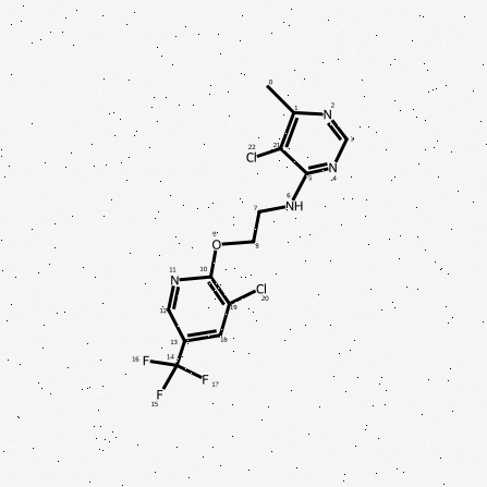 Cc1ncnc(NCCOc2ncc(C(F)(F)F)cc2Cl)c1Cl